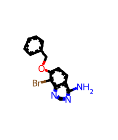 Nc1ncnc2c(Br)c(OCc3ccccc3)ccc12